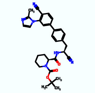 Cc1nccn1-c1cc(-c2ccc(C[C@@H](C#N)NC(=O)[C@@H]3CCCCN3C(=O)OC(C)(C)C)cc2)ccc1C#N